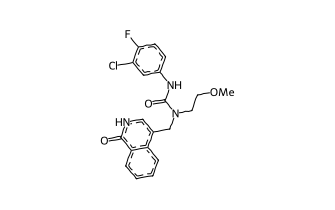 COCCN(Cc1c[nH]c(=O)c2ccccc12)C(=O)Nc1ccc(F)c(Cl)c1